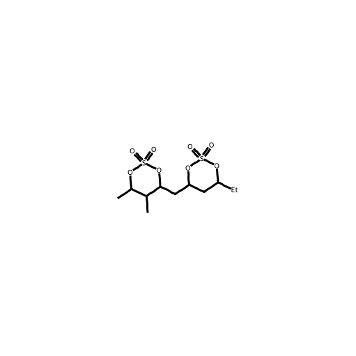 CCC1CC(CC2OS(=O)(=O)OC(C)C2C)OS(=O)(=O)O1